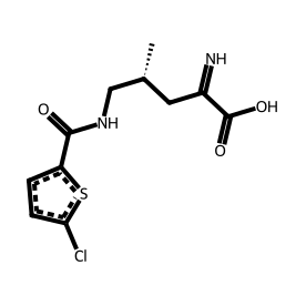 C[C@@H](CNC(=O)c1ccc(Cl)s1)CC(=N)C(=O)O